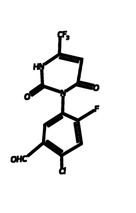 O=Cc1cc(-n2c(=O)cc(C(F)(F)F)[nH]c2=O)c(F)cc1Cl